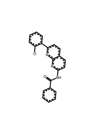 O=C(Nc1ccc2ccc(-c3ccccc3Cl)nc2n1)c1ccccc1